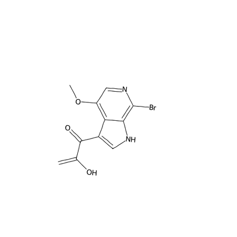 C=C(O)C(=O)c1c[nH]c2c(Br)ncc(OC)c12